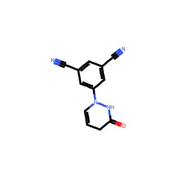 N#Cc1cc(C#N)cc(N2C=CCC(=O)N2)c1